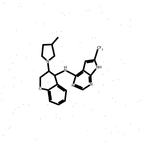 CC1CCN(C2COc3ccccc3C2Nc2ncnc3[nH]c(C(F)(F)F)cc23)C1